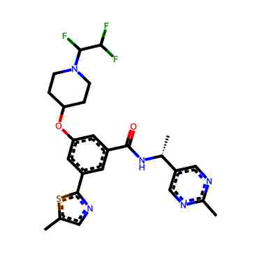 Cc1ncc([C@@H](C)NC(=O)c2cc(OC3CCN(C(F)C(F)F)CC3)cc(-c3ncc(C)s3)c2)cn1